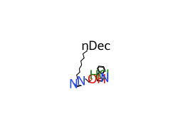 CCCCCCCCCCCCCCCCCCc1nccn1CCO.Cl.c1ccc2ncccc2c1